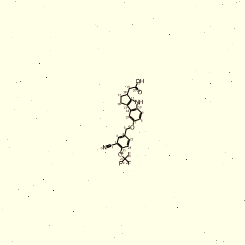 N#Cc1cc(COc2ccc3[nH]c4c(c3c2)CCC4CC(=O)O)ccc1OC(F)(F)F